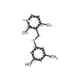 Cc1cc(O)cc(SCc2c(Cl)ccnc2Cl)c1